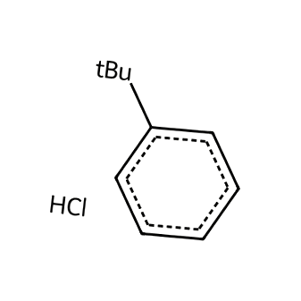 CC(C)(C)c1ccccc1.Cl